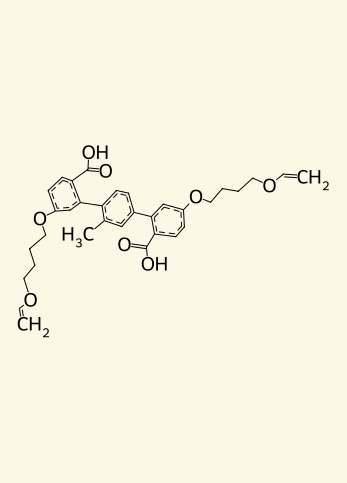 C=COCCCCOc1ccc(C(=O)O)c(-c2ccc(-c3cc(OCCCCOC=C)ccc3C(=O)O)c(C)c2)c1